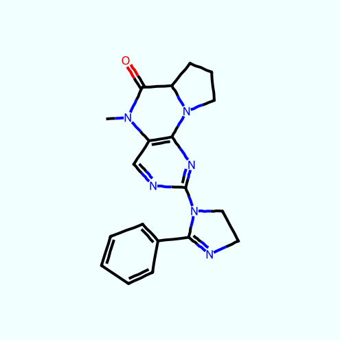 CN1C(=O)C2CCCN2c2nc(N3CCN=C3c3ccccc3)ncc21